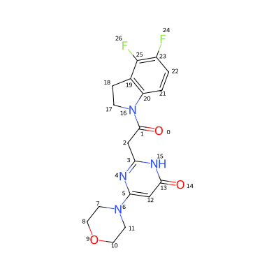 O=C(Cc1nc(N2CCOCC2)cc(=O)[nH]1)N1CCc2c1ccc(F)c2F